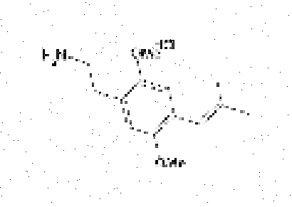 COc1cc(CCN)c(OC)cc1C=C(C)C.Cl